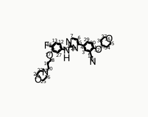 N#Cc1cc(-c2ccnc(Nc3ccc(F)c(OCCCN4CCOCC4)c3)n2)ccc1OC1CCOCC1